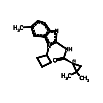 Cc1ccc2nc(NC(=O)[C@H]3CC3(C)C)n(C3CCC3)c2c1